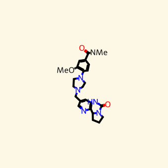 CNC(=O)c1ccc(N2CCN(Cc3cnc4c(c3)NC(=O)N3CCCC43)CC2)c(OC)c1